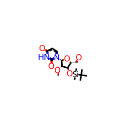 CO[C@H]1C(O[Si](C)(C)C(C)(C)C)[C@@H](C=O)O[C@H]1n1ccc(=O)[nH]c1=O